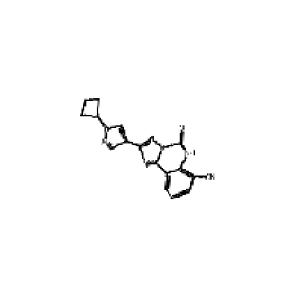 N#Cc1cccc2c1[nH]c(=O)n1nc(-c3cnn(C4CCC4)c3)nc21